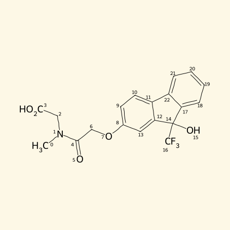 CN(CC(=O)O)C(=O)COc1ccc2c(c1)C(O)(C(F)(F)F)c1ccccc1-2